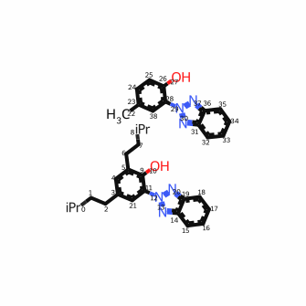 CC(C)CCc1cc(CCC(C)C)c(O)c(-n2nc3ccccc3n2)c1.Cc1ccc(O)c(-n2nc3ccccc3n2)c1